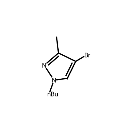 CCCCn1[c]c(Br)c(C)n1